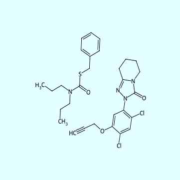 C#CCOc1cc(-n2nc3n(c2=O)CCCC3)c(Cl)cc1Cl.CCCN(CCC)C(=O)SCc1ccccc1